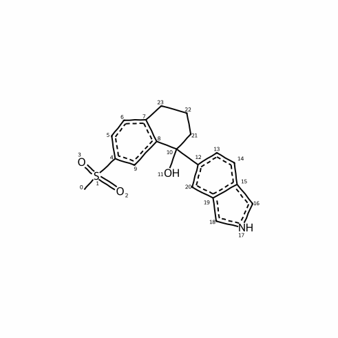 CS(=O)(=O)c1ccc2c(c1)C(O)(c1ccc3c[nH]cc3c1)CCC2